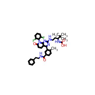 Cc1ccc(C(=O)NCCc2ccccc2)cc1-c1nc(NCCC(NC(=O)O)C(C)(C)C)nc2c1ccc(=O)n2-c1c(F)cccc1F